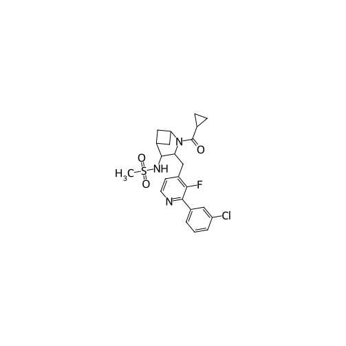 CS(=O)(=O)NC1C2CC(C2)N(C(=O)C2CC2)C1Cc1ccnc(-c2cccc(Cl)c2)c1F